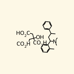 Cc1ccccc1C(CC(C)c1ccccc1)N(C)C.O=C(O)CC(O)(CC(=O)O)C(=O)O